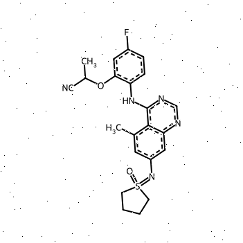 Cc1cc(N=S2(=O)CCCC2)cc2ncnc(Nc3ccc(F)cc3OC(C)C#N)c12